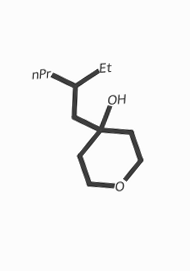 CCCC(CC)CC1(O)CCOCC1